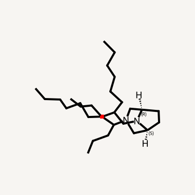 CCCCCCCC(CCC)N1C[C@H]2CC[C@@H](C1)N2CC(CCCC)CCCCCC